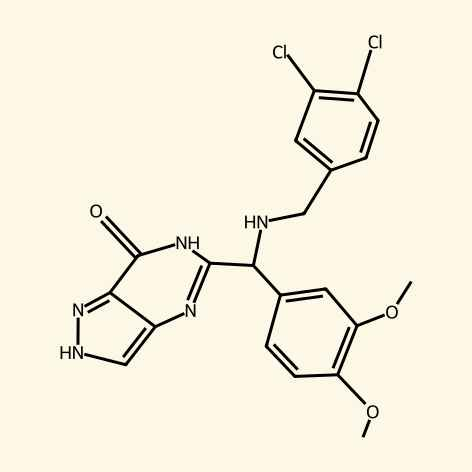 COc1ccc(C(NCc2ccc(Cl)c(Cl)c2)c2nc3c[nH]nc3c(=O)[nH]2)cc1OC